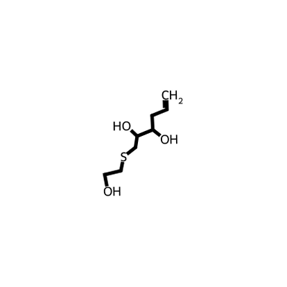 C=CCC(O)C(O)CSCCO